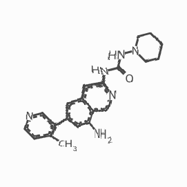 Cc1ccncc1-c1cc(N)c2cnc(NC(=O)NN3CCCCC3)cc2c1